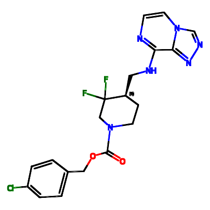 O=C(OCc1ccc(Cl)cc1)N1CC[C@H](CNc2nccn3cnnc23)C(F)(F)C1